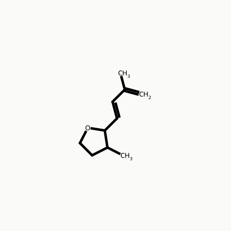 C=C(C)/C=C/C1OCCC1C